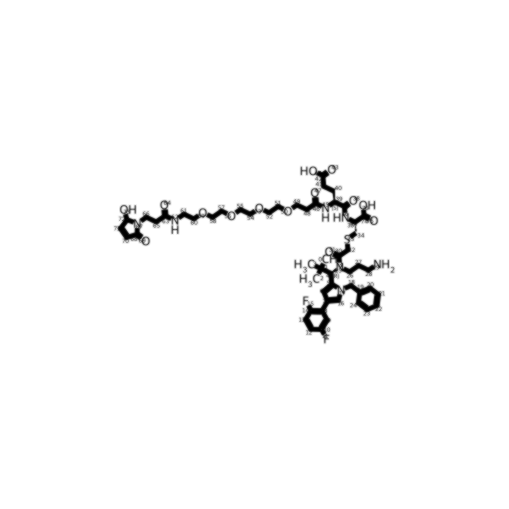 CC(C)(C)[C@H](c1cc(-c2cc(F)ccc2F)cn1Cc1ccccc1)N(CCCN)C(=O)CSC[C@H](NC(=O)[C@H](CCC(=O)O)NC(=O)CCOCCOCCOCCOCCNC(=O)CCN1C(=O)C=CC1O)C(=O)O